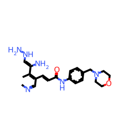 C\N=C/C(/C=C/C(=O)Nc1ccc(CN2CCOCC2)cc1)=C(C)/C(N)=C/NN